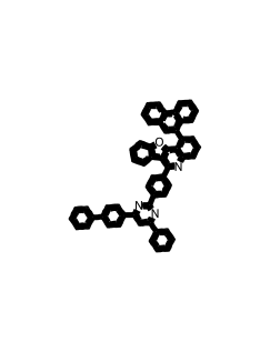 c1ccc(-c2ccc(-c3cc(-c4ccccc4)nc(-c4ccc(-c5nc6cccc(-c7cc8ccccc8c8ccccc78)c6c6oc7ccccc7c56)cc4)n3)cc2)cc1